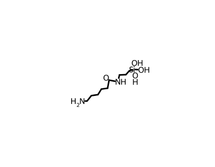 NCCCCCC(=O)NCCC[Si](O)(O)O